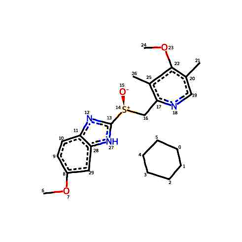 C1CCCCC1.COc1ccc2nc([S@@+]([O-])Cc3ncc(C)c(OC)c3C)[nH]c2c1